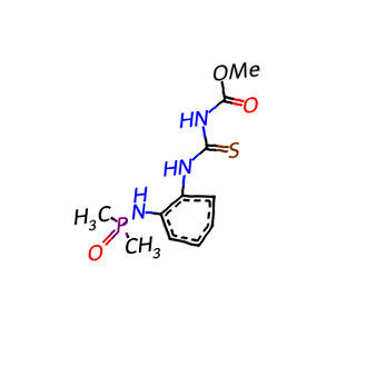 COC(=O)NC(=S)Nc1ccccc1NP(C)(C)=O